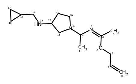 C=CCO/C(C)=N\C(C)N1CCC(NCC2CC2)C1